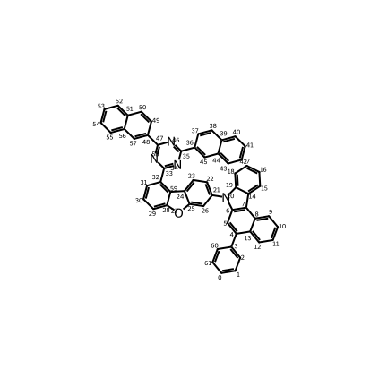 c1ccc(-c2cc3c(c4ccccc24)c2ccccc2n3-c2ccc3c(c2)oc2cccc(-c4nc(-c5ccc6ccccc6c5)nc(-c5ccc6ccccc6c5)n4)c23)cc1